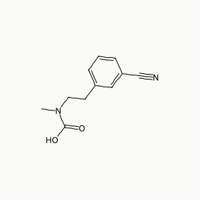 CN(CCc1cccc(C#N)c1)C(=O)O